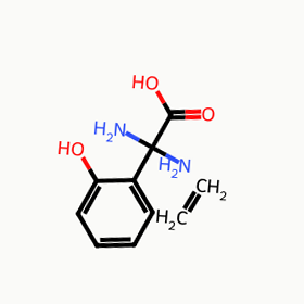 C=C.NC(N)(C(=O)O)c1ccccc1O